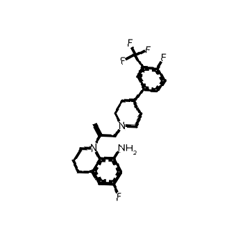 C=C(CN1CCC(c2ccc(F)c(C(F)(F)F)c2)CC1)N1CCCc2cc(F)cc(N)c21